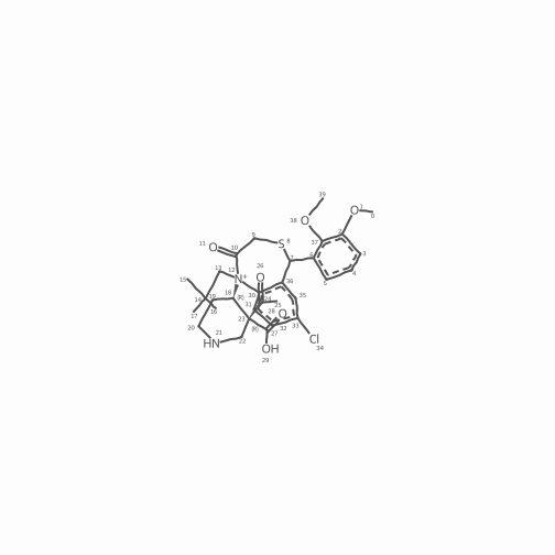 COc1cccc(C2SCC(=O)[N+](CC(C)(C)C)([C@@H]3CCNC[C@@]3(C(C)=O)C(=O)O)c3ccc(Cl)cc32)c1OC